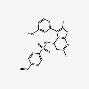 C=Cc1ccc(S(=O)(=O)NC2CC(C)=Nc3sc(C)c(-c4cccc(OC)c4)c32)cc1